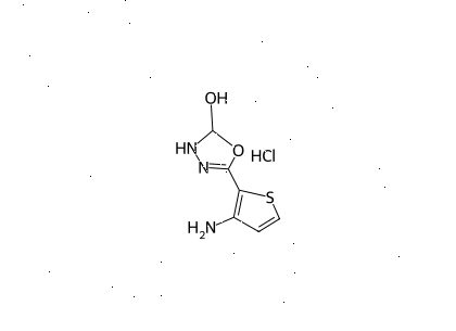 Cl.Nc1ccsc1C1=NNC(O)O1